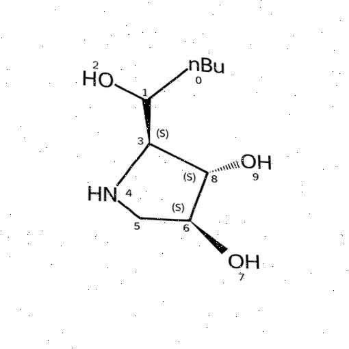 CCCCC(O)[C@@H]1NC[C@H](O)[C@H]1O